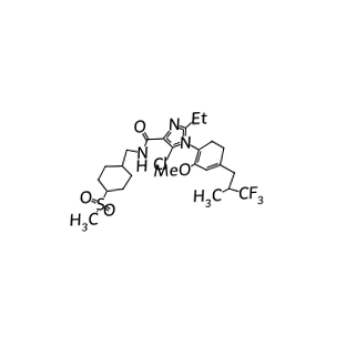 CCc1nc(C(=O)NCC2CCC(S(C)(=O)=O)CC2)c(Cl)n1C1=C(OC)C=C(CC(C)C(F)(F)F)CC1